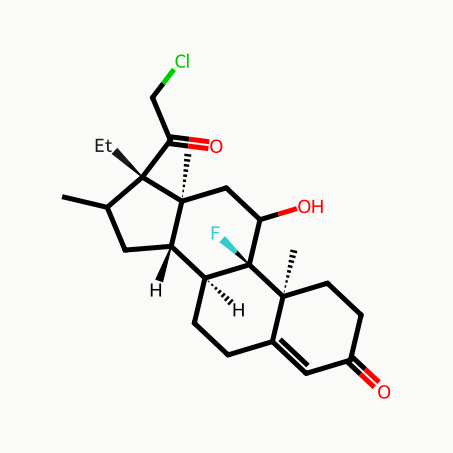 CC[C@]1(C(=O)CCl)C(C)C[C@H]2[C@@H]3CCC4=CC(=O)CC[C@]4(C)[C@@]3(F)C(O)C[C@@]21C